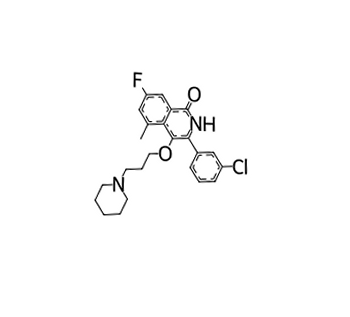 Cc1cc(F)cc2c(=O)[nH]c(-c3cccc(Cl)c3)c(OCCCN3CCCCC3)c12